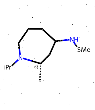 CSNC1CCCN(C(C)C)[C@@H](C)C1